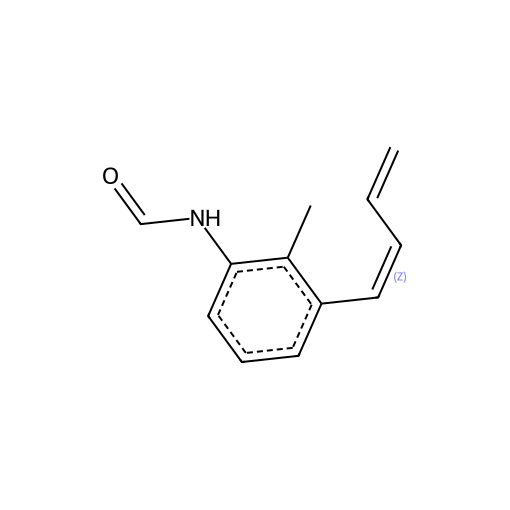 C=C/C=C\c1cccc(NC=O)c1C